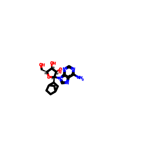 Nc1ncnc2c1ncn2[C@]1(C2CC3CCC2C3)O[C@H](CO)[C@@H](O)[C@H]1O